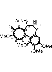 COc1cc2c(c(OC)c1OC)-c1ccc(OC)c(=O)cc1[C@@H](NC(C)=O)CC2.N